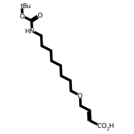 CC(C)(C)OC(=O)NCCCCCCCCOC/C=C/C(=O)O